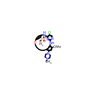 COc1cc(N2CCN(C)CC2)c2cc1Nc1ncc(Cl)c(n1)Nc1ccc(cc1P(C)(C)=O)OCCCCC2